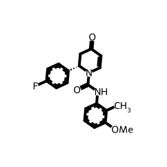 COc1cccc(NC(=O)N2C=CC(=O)C[C@H]2c2ccc(F)cc2)c1C